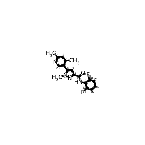 Cc1cc(C)c(-c2cc(C(=O)Nc3c(F)cccc3F)nn2C)cn1